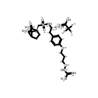 CC1(C)C2CC[C@@]1(CS(=O)(=O)N[C@@H](Cc1ccc(OCCCONC(=N)N)cc1)C(=O)O)C(=O)C2.O=C(O)C(F)(F)F